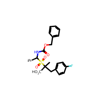 CC(C)C(NC(=O)OCc1ccccc1)S(=O)(=O)C(C)(Cc1ccc(F)cc1)C(=O)O